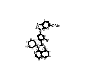 COc1ccc2nnn(-c3ccc(C(=O)N(c4nccc5cccc(C)c45)[C@@H]4CCCNC4)c(F)c3)c2n1